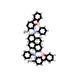 CC(C)c1ccc2c(oc3ccccc32)c1N(c1ccccc1)c1ccc2ccc3c(N(c4ccccc4)c4c(C(C)C)ccc5c4oc4ccccc45)ccc4ccc1c2c43